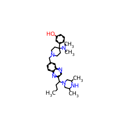 CCCC(c1cnc2cc(CN3CCC(c4cccc(O)c4)(N(C)C)CC3)ccc2n1)N1CC(C)NC(C)C1